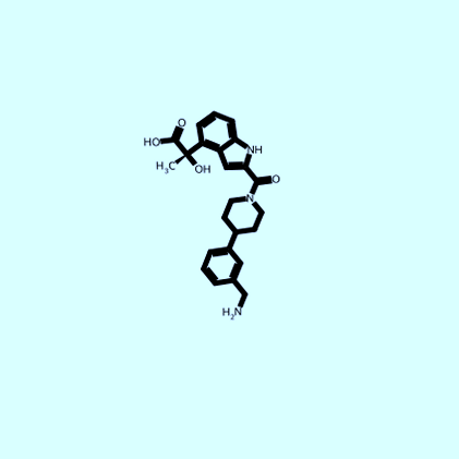 C[C@@](O)(C(=O)O)c1cccc2[nH]c(C(=O)N3CCC(c4cccc(CN)c4)CC3)cc12